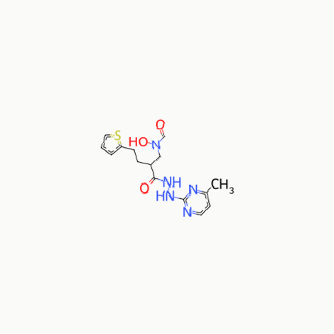 Cc1ccnc(NNC(=O)C(CCc2cccs2)CN(O)C=O)n1